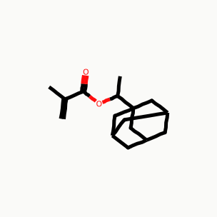 C=C(C)C(=O)OC(C)C12CC3CC(CC(C3)C1)C2